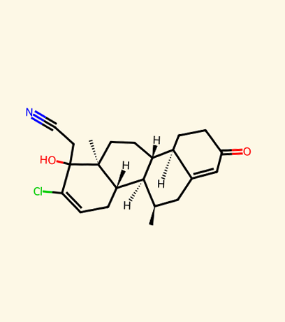 C[C@@H]1CC2=CC(=O)CC[C@@H]2[C@H]2CC[C@@]3(C)[C@@H](CC=C(Cl)C3(O)CC#N)[C@@H]21